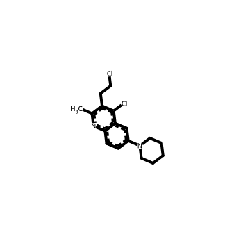 Cc1nc2ccc(N3CCCCC3)cc2c(Cl)c1CCCl